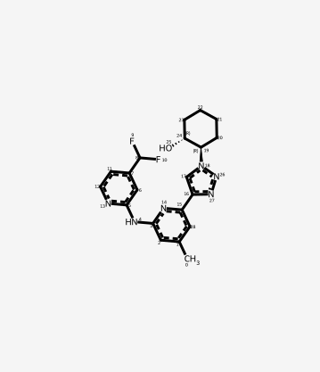 Cc1cc(Nc2cc(C(F)F)ccn2)nc(-c2cn([C@@H]3CCCC[C@H]3O)nn2)c1